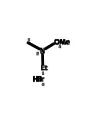 Br.CCN(C)OC